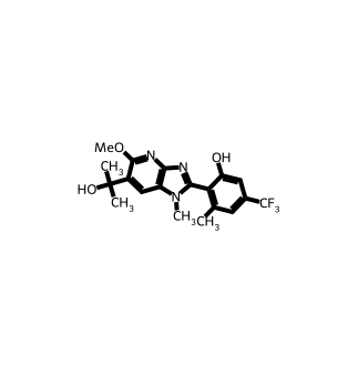 COc1nc2nc(-c3c(C)cc(C(F)(F)F)cc3O)n(C)c2cc1C(C)(C)O